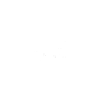 O=C(Oc1ccccc1)N1CN(C(=O)Oc2ccccc2)c2ccccc2-c2ccccc21